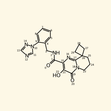 O=C(NCc1ccccc1-n1cncn1)c1nc2n(c(=O)c1O)CCCC21CCC1